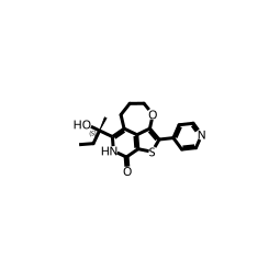 CC[C@](C)(O)c1[nH]c(=O)c2sc(-c3ccncc3)c3c2c1CCCO3